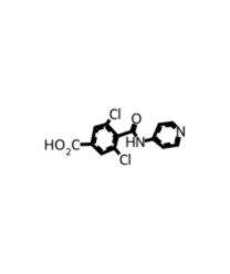 O=C(O)c1cc(Cl)c(C(=O)Nc2ccncc2)c(Cl)c1